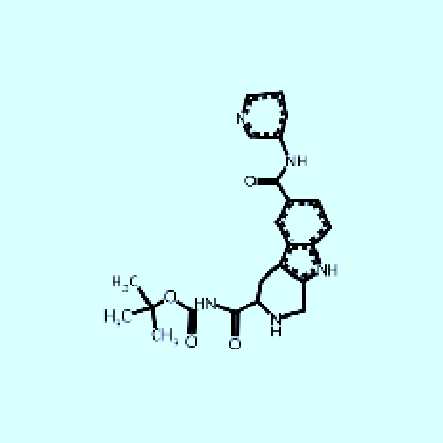 CC(C)(C)OC(=O)NC(=O)C1Cc2c([nH]c3ccc(C(=O)Nc4cccnc4)cc23)CN1